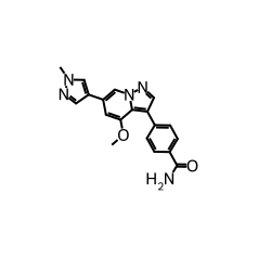 COc1cc(-c2cnn(C)c2)cn2ncc(-c3ccc(C(N)=O)cc3)c12